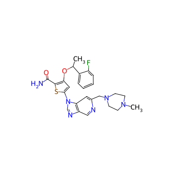 CC(Oc1cc(-n2cnc3cnc(CN4CCN(C)CC4)cc32)sc1C(N)=O)c1ccccc1F